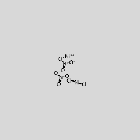 O=[N+]([O-])[O-].O=[N+]([O-])[O-].[Cl][Ni][Cl].[Ni+2]